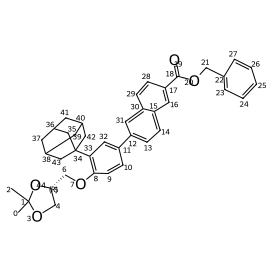 CC1(C)OC[C@@H](COc2ccc(-c3ccc4cc(C(=O)OCc5ccccc5)ccc4c3)cc2C23CC4CC(CC(C4)C2)C3)O1